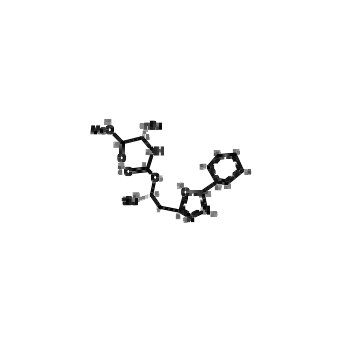 CCCC[C@H](NC(=O)O[C@H](Cc1nnc(-c2ccccc2)o1)C(C)(C)C)C(=O)OC